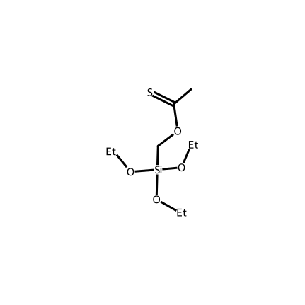 CCO[Si](COC(C)=S)(OCC)OCC